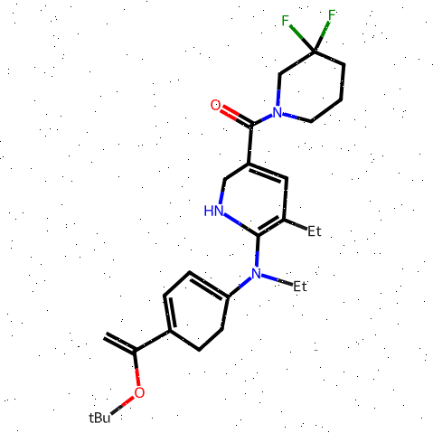 C=C(OC(C)(C)C)C1=CC=C(N(CC)C2=C(CC)C=C(C(=O)N3CCCC(F)(F)C3)CN2)CC1